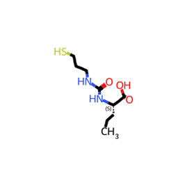 CCC[C@H](NC(=O)NCCCS)C(=O)O